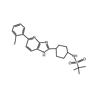 CC(C)(C)S(=O)(=O)NC1CCC(c2nc3nc(-c4ccccc4F)ccc3[nH]2)CC1